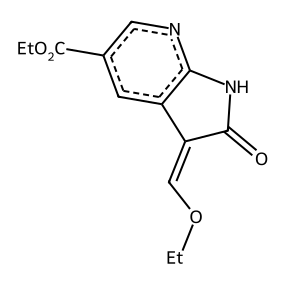 CCOC=C1C(=O)Nc2ncc(C(=O)OCC)cc21